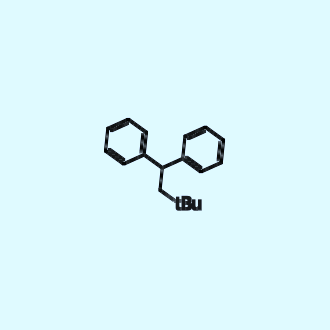 CC(C)(C)CC(c1ccccc1)c1ccccc1